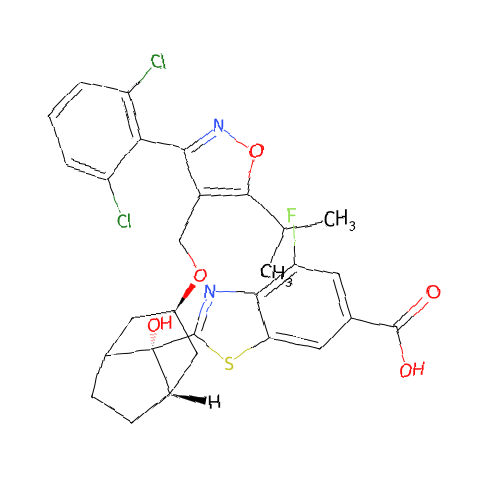 CC(C)c1onc(-c2c(Cl)cccc2Cl)c1CO[C@@H]1CC2CC[C@@H](C1)[C@]2(O)c1nc2c(F)cc(C(=O)O)cc2s1